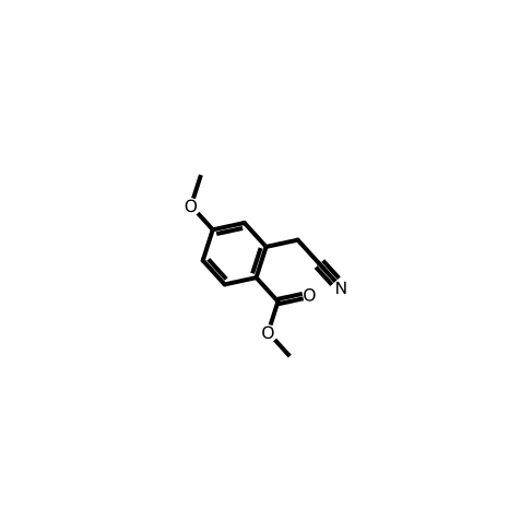 COC(=O)c1ccc(OC)cc1CC#N